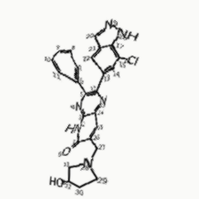 O=c1[nH]c2nc(-c3ccccc3)c(-c3cc(Cl)c4[nH]ncc4c3)nc2cc1CN1CCC(O)C1